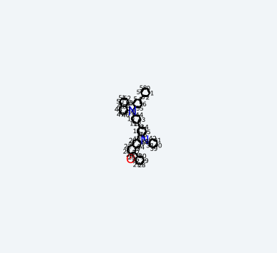 c1ccc(-c2ccc(N(c3ccc(-c4ccc5c(c4)c4cc6ccc7oc8ccccc8c7c6cc4n5-c4ccccc4)cc3)c3cccc4ccccc34)cc2)cc1